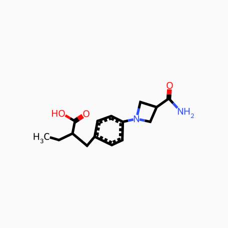 CCC(Cc1ccc(N2CC(C(N)=O)C2)cc1)C(=O)O